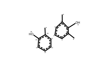 Cc1cccc(C)c1O.Cc1ccccc1O